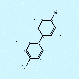 CCCC1=CCC(C2C=CC(Br)CC2)C=C1